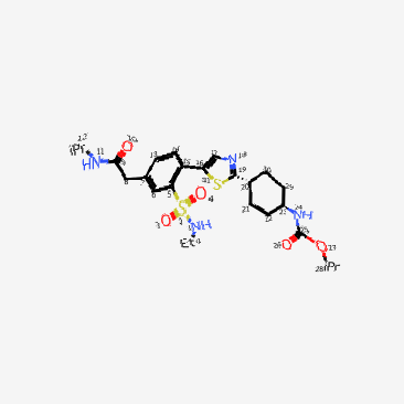 CCNS(=O)(=O)c1cc(CC(=O)NC(C)C)ccc1-c1cnc([C@H]2CC[C@H](NC(=O)OC(C)C)CC2)s1